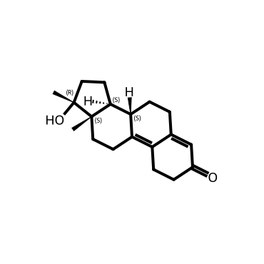 C[C@]12CCC3=C4CCC(=O)C=C4CC[C@H]3[C@@H]1CC[C@@]2(C)O